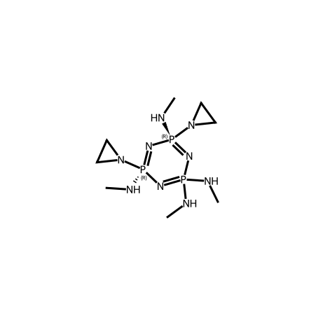 CNP1(NC)=N[P@@](NC)(N2CC2)=N[P@](NC)(N2CC2)=N1